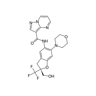 O=C(Nc1cc2c(cc1N1CCOCC1)O[C@](CO)(C(F)(F)F)C2)c1cnn2cccnc12